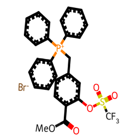 COC(=O)c1ccc(C[P+](c2ccccc2)(c2ccccc2)c2ccccc2)cc1OS(=O)(=O)C(F)(F)F.[Br-]